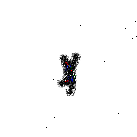 Fc1ccc(-c2ccc(-c3ccccc3)cc2)c(-c2ccc(-c3ccccc3)cc2)c1N(c1ccccc1)c1ccc2ccc3c(N(c4ccccc4)c4c(F)ccc(-c5ccc(-c6ccccc6)cc5)c4-c4ccc(-c5ccccc5)cc4)ccc4ccc1c2c43